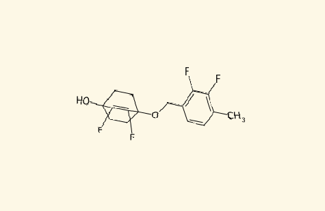 Cc1ccc(COC23CCC(O)(CC2)C(F)=C3F)c(F)c1F